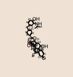 CC(C)Nc1cc(Cc2ccc([C@@H]3O[C@@H]4C[C@H]5[C@@H]6C[C@H](F)C7=CC(=O)C=C[C@]7(C)[C@@]6(F)[C@@H](O)C[C@]5(C)[C@]4(C(=O)CO)O3)cc2)ccc1O